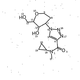 CN(C(=O)c1cn(C2CCOC(CO)C2O)nn1)C1CC1